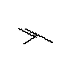 CC=CCCCCCCCCC(CCCCCCCC)OC(CCCCCCCC)CCCCCCCCC=CC